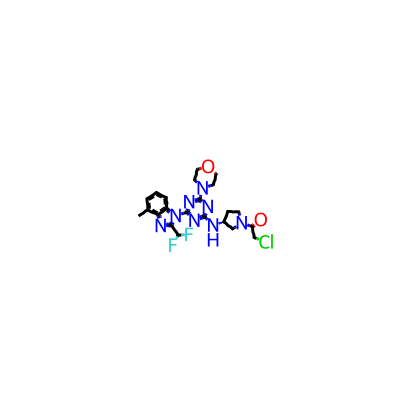 Cc1cccc2c1nc(C(F)F)n2-c1nc(N[C@H]2CCN(C(=O)CCl)C2)nc(N2CCOCC2)n1